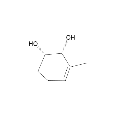 CC1=CCC[C@H](O)[C@@H]1O